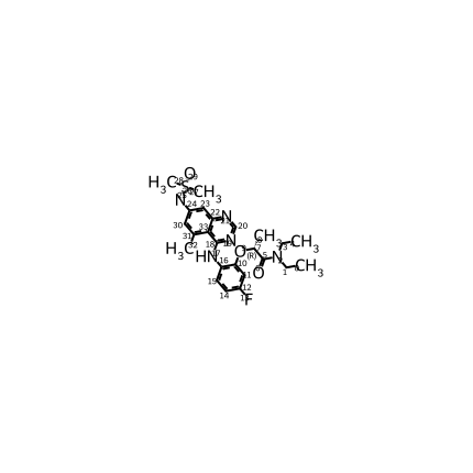 CCN(CC)C(=O)[C@@H](C)Oc1cc(F)ccc1Nc1ncnc2cc(N=S(C)(C)=O)cc(C)c12